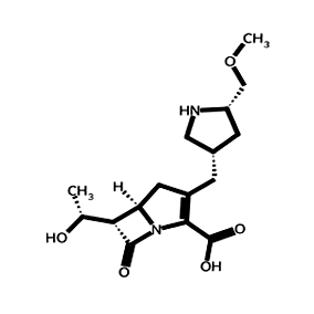 COC[C@@H]1C[C@H](CC2=C(C(=O)O)N3C(=O)[C@H]([C@@H](C)O)[C@H]3C2)CN1